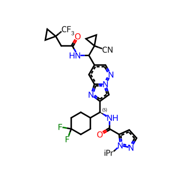 CC(C)n1nccc1C(=O)N[C@H](c1cn2ncc(C(NC(=O)CC3(C(F)(F)F)CC3)C3(C#N)CC3)cc2n1)C1CCC(F)(F)CC1